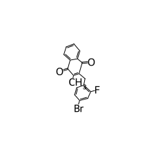 CC1=C(Cc2ccc(Br)cc2F)C(=O)c2ccccc2C1=O